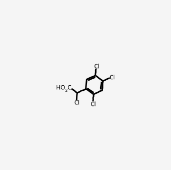 O=C(O)C(Cl)c1cc(Cl)c(Cl)cc1Cl